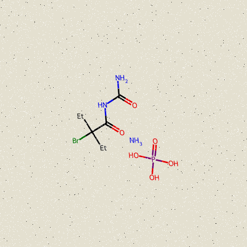 CCC(Br)(CC)C(=O)NC(N)=O.N.O=P(O)(O)O